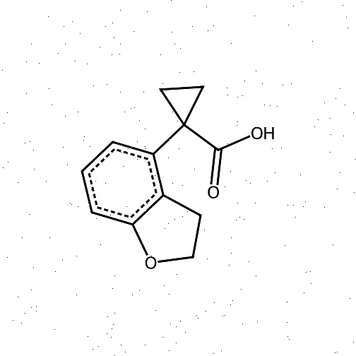 O=C(O)C1(c2cccc3c2CCO3)CC1